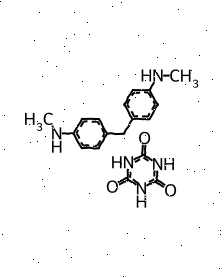 CNc1ccc(Cc2ccc(NC)cc2)cc1.O=c1[nH]c(=O)[nH]c(=O)[nH]1